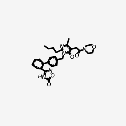 CCCCc1nc(C)c(CC(=O)N2CCOCC2)c(=O)n1Cc1ccc(-c2ccccc2-c2noc(=O)[nH]2)cc1